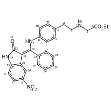 CCOC(=O)CNCCc1ccc(N/C(=C2\C(=O)Nc3ccc([N+](=O)[O-])cc32)c2ccccc2)cc1